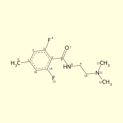 Cc1cc(F)c(C(=O)NCCN(C)C)c(F)c1